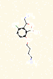 NCCCCOc1ccc(Cl)c2c1B(O)OC2CN